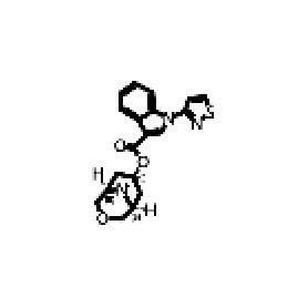 CN1[C@@H]2COC[C@H]1C[C@@H](OC(=O)c1cn(-c3ccsn3)c3ccccc13)C2